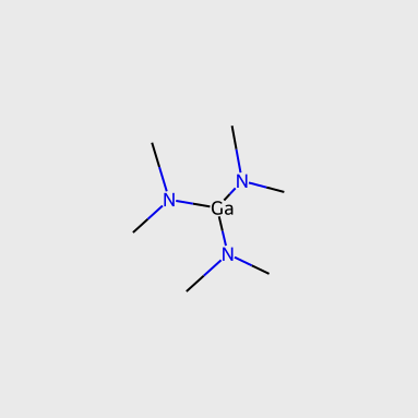 C[N](C)[Ga]([N](C)C)[N](C)C